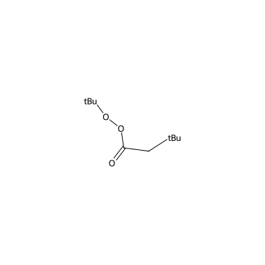 CC(C)(C)CC(=O)OOC(C)(C)C